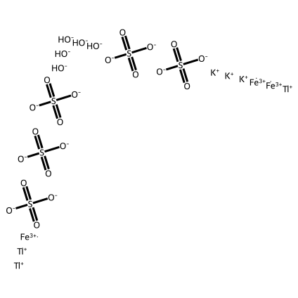 O=S(=O)([O-])[O-].O=S(=O)([O-])[O-].O=S(=O)([O-])[O-].O=S(=O)([O-])[O-].O=S(=O)([O-])[O-].[Fe+3].[Fe+3].[Fe+3].[K+].[K+].[K+].[OH-].[OH-].[OH-].[OH-].[OH-].[Tl+].[Tl+].[Tl+]